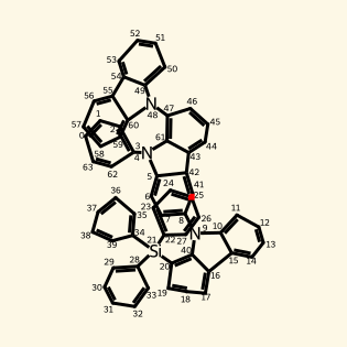 c1ccc(-n2c3ccc(-n4c5ccccc5c5cccc([Si](c6ccccc6)(c6ccccc6)c6ccccc6)c54)cc3c3cccc(-n4c5ccccc5c5ccccc54)c32)cc1